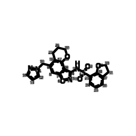 O=S(=O)(Nc1noc2cc(Cn3cccn3)c3c(c12)OCCC3)c1cccc2c1OCC2